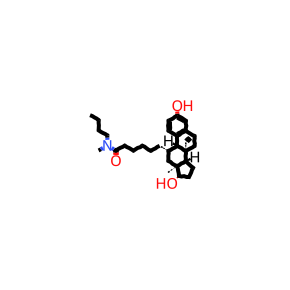 C=C[C@@]12CCc3cc(O)ccc3[C@H]1[C@@H](CCCCCC(=O)N(C)CCCC)C[C@@]1(C)[C@H]2CC[C@@H]1O